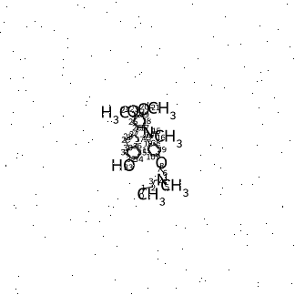 CCCCN(C)CCOc1ccc(CN(CC)c2cc(OC)c(OC)cc2[C@@H]2CCc3cc(O)ccc3C2)cc1